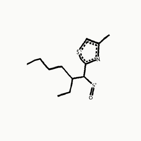 CCCCC(CC)C([S+]=O)c1nc(C)cs1